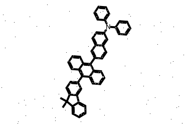 CC1(C)c2ccccc2-c2cc(-c3c4ccccc4c(-c4ccc5cc(N(c6ccccc6)c6ccccc6)ccc5c4)c4ccccc34)ccc21